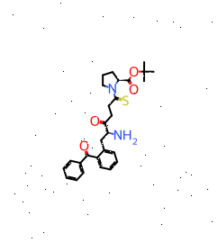 CC(C)(C)OC(=O)[C@@H]1CCCN1C(=S)CCC(=O)[C@@H](N)Cc1ccccc1C(=O)c1ccccc1